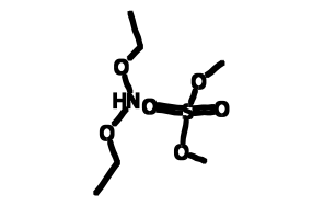 CCONOCC.COS(=O)(=O)OC